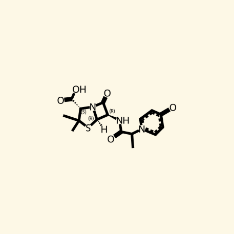 CC(C(=O)N[C@@H]1C(=O)N2[C@@H]1SC(C)(C)[C@@H]2C(=O)O)n1ccc(=O)cc1